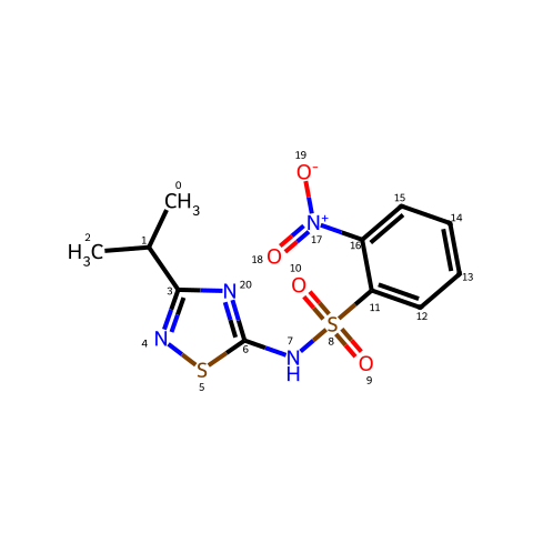 CC(C)c1nsc(NS(=O)(=O)c2ccccc2[N+](=O)[O-])n1